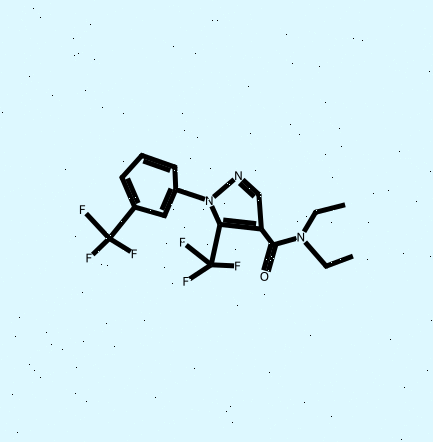 CCN(CC)C(=O)c1cnn(-c2cccc(C(F)(F)F)c2)c1C(F)(F)F